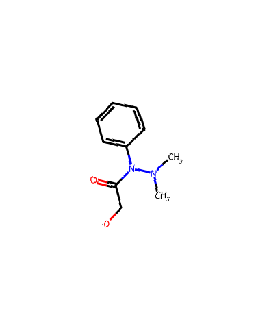 CN(C)N(C(=O)C[O])c1ccccc1